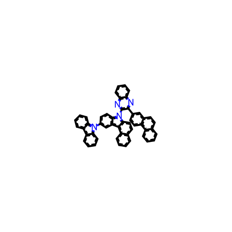 c1ccc2c(c1)ccc1cc(-c3nc4ccccc4nc3-n3c4ccc(-n5c6ccccc6c6ccccc65)cc4c4c5ccccc5ccc43)ccc12